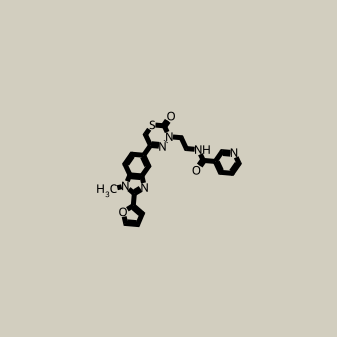 Cn1c(-c2ccco2)nc2cc(C3=NN(CCNC(=O)c4cccnc4)C(=O)SC3)ccc21